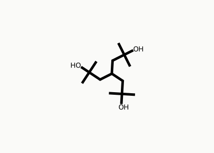 CC(C)(O)CC(CC(C)(C)O)CC(C)(C)O